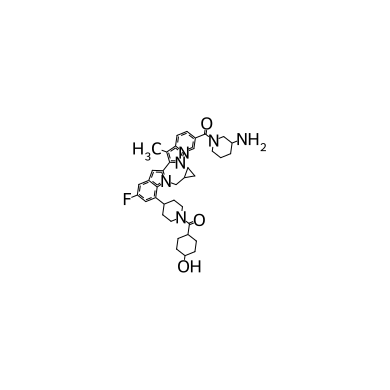 Cc1c(-c2cc3cc(F)cc(C4CCN(C(=O)C5CCC(O)CC5)CC4)c3n2CC2CC2)nn2cc(C(=O)N3CCCC(N)C3)ccc12